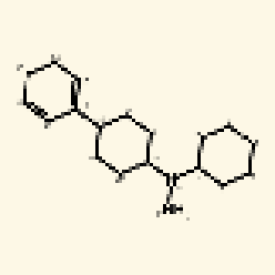 NN(C1CCCCC1)C1CCC(C2=CCCC=C2)CC1